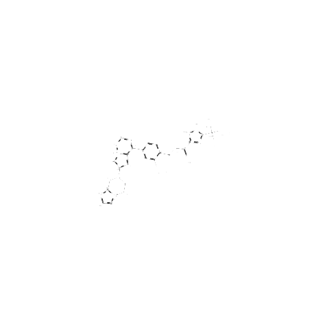 Cc1cc(-c2ncnn3cc(N4CCn5ccnc5C4)cc23)ccc1CNC(=O)c1noc(C(C)(C)C)n1